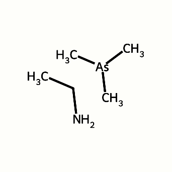 CCN.C[As](C)C